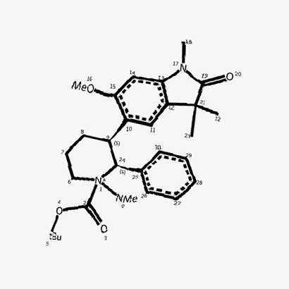 CN[N+]1(C(=O)OC(C)(C)C)CCC[C@@H](c2cc3c(cc2OC)N(C)C(=O)C3(C)C)[C@H]1c1ccccc1